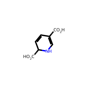 O=C(O)C1=CNC(C(=O)O)C=C1